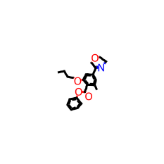 CCCCOc1cc(C2=NCCOC2)cc(C)c1C(=O)Oc1ccccc1